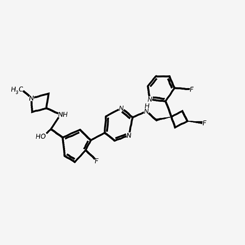 CN1CC(NC(O)c2ccc(F)c(-c3cnc(NC[C@]4(c5ncccc5F)C[C@H](F)C4)nc3)c2)C1